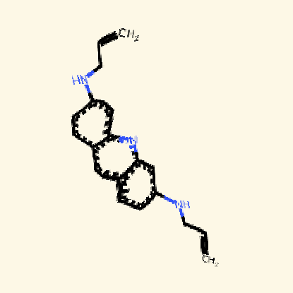 C=CCNc1ccc2cc3ccc(NCC=C)cc3nc2c1